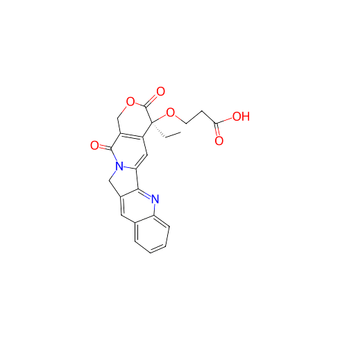 CC[C@@]1(OCCC(=O)O)C(=O)OCc2c1cc1n(c2=O)Cc2cc3ccccc3nc2-1